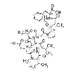 CCC(C)[C@@H]([C@@H](CC(=O)N1CCC[C@H]1[C@H](OC)[C@@H](C)C(=O)N[C@@H](Cc1ccccc1)C(=O)O)OC)N(C)C(=O)[C@@H](NC(=O)[C@H](C(C)C)N(C)C(=O)CCCC(=O)O)C(C)C